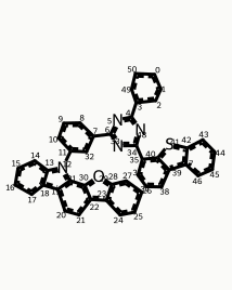 c1ccc(-c2nc(-c3cccc(-n4c5ccccc5c5ccc6c7ccccc7oc6c54)c3)nc(-c3cccc4c3sc3ccccc34)n2)cc1